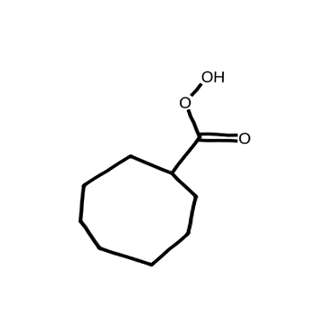 O=C(OO)C1CCCCCCC1